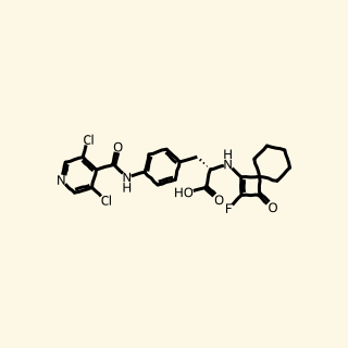 O=C(Nc1ccc(C[C@H](NC2=C(F)C(=O)C23CCCCC3)C(=O)O)cc1)c1c(Cl)cncc1Cl